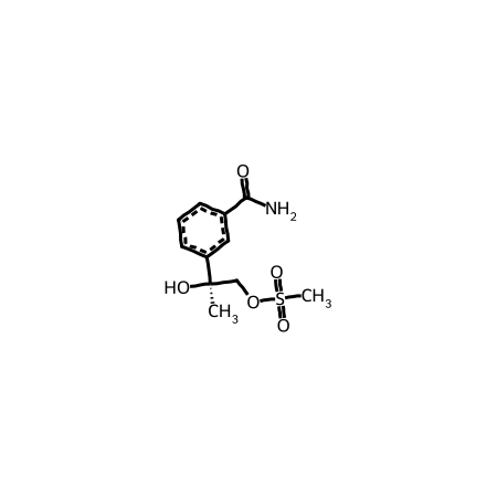 C[C@@](O)(COS(C)(=O)=O)c1cccc(C(N)=O)c1